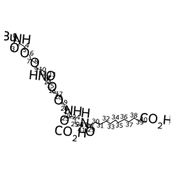 CCCCNC(=O)COCCOCCNC(=O)COCCOCCNC(=O)CC[C@H](NC(=O)CCCCCCCCCCC(=O)O)C(=O)O